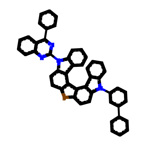 c1ccc(-c2cccc(-n3c4ccccc4c4c5c(ccc43)sc3ccc4c(c6ccccc6n4-c4nc(-c6ccccc6)c6ccccc6n4)c35)c2)cc1